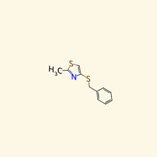 Cc1nc(SCc2ccccc2)cs1